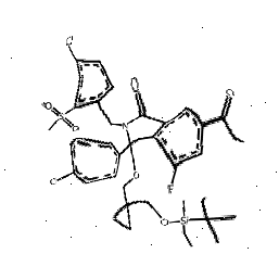 CC(=O)c1cc(F)c2c(c1)C(=O)N(Cc1ccc(Cl)cc1S(C)(=O)=O)C2(OCC1(CO[Si](C)(C)C(C)(C)C)CC1)c1ccc(Cl)cc1